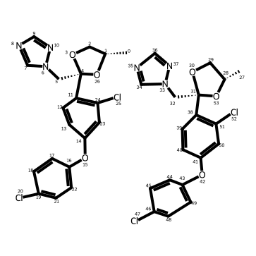 C[C@H]1CO[C@](Cn2cncn2)(c2ccc(Oc3ccc(Cl)cc3)cc2Cl)O1.C[C@H]1CO[C@](Cn2cncn2)(c2ccc(Oc3ccc(Cl)cc3)cc2Cl)O1